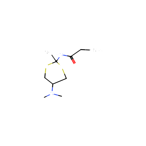 CCCCCCCCCCC(=O)NC1(C#N)SCC(N(C)C)CS1